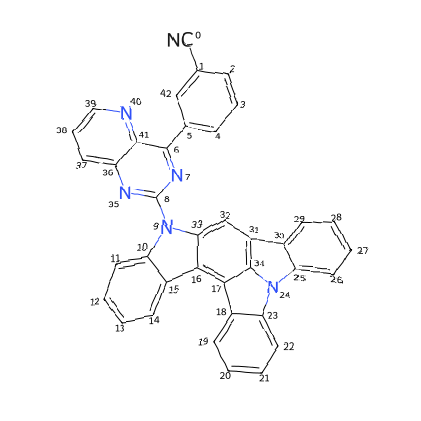 N#Cc1cccc(-c2nc(-n3c4ccccc4c4c5c6ccccc6n6c7ccccc7c(cc43)c56)nc3cccnc23)c1